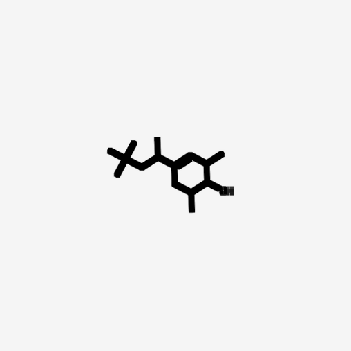 CC(CC(C)(C)C)C1=CC(C)C(O)C(C)C1